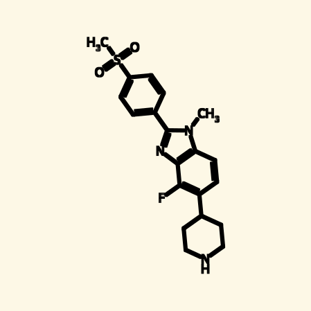 Cn1c(-c2ccc(S(C)(=O)=O)cc2)nc2c(F)c(C3CCNCC3)ccc21